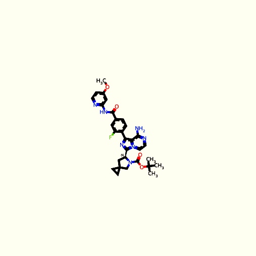 COc1ccnc(NC(=O)c2ccc(-c3nc([C@@H]4CC5(CC5)CN4C(=O)OC(C)(C)C)n4ccnc(N)c34)c(F)c2)c1